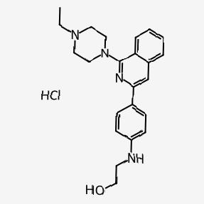 CCN1CCN(c2nc(-c3ccc(NCCO)cc3)cc3ccccc23)CC1.Cl